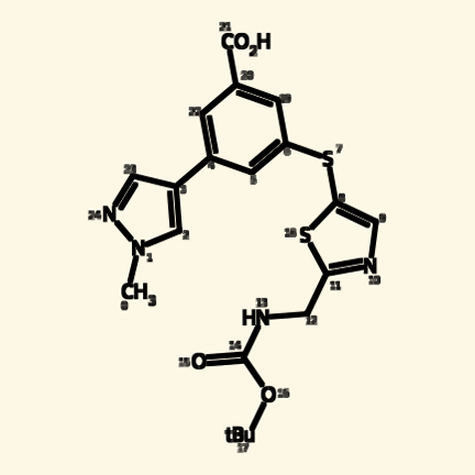 Cn1cc(-c2cc(Sc3cnc(CNC(=O)OC(C)(C)C)s3)cc(C(=O)O)c2)cn1